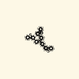 c1cc(-c2ccc3sc4ccccc4c3c2)cc(N(c2ccc(-c3ccc4sc5ccccc5c4c3)cc2)c2cccc(-c3cccc4c3oc3ccccc34)c2)c1